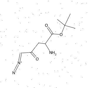 CC(C)(C)OC(=O)C(N)CC(=O)C=[N+]=[N-]